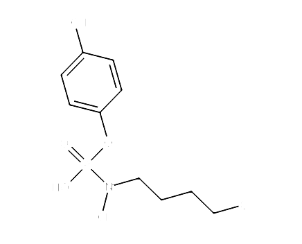 Cc1ccc(OP(=O)(O)N(C)CCCCCl)cc1